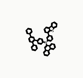 c1ccc(-c2ccc(-c3ccccc3)c(-c3ccc(N(c4cccc(-c5cccc6c5sc5ccccc56)c4)c4cc5ccccc5c5ccccc45)cc3)c2)cc1